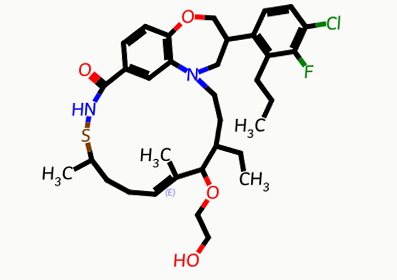 CCCc1c(C2COc3ccc4cc3N(CCC(CC)C(OCCO)/C(C)=C/CCC(C)SNC4=O)C2)ccc(Cl)c1F